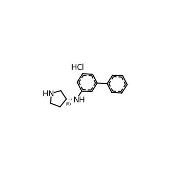 Cl.c1ccc(-c2cccc(N[C@@H]3CCNC3)c2)cc1